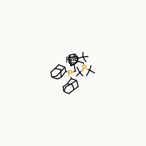 CC(C)(C)P(C[C]12[CH]3[CH]4[CH]5[C]1(CP(C1C6CC7CC(C6)CC1C7)C1C6CC7CC(C6)CC1C7)[Fe]45321678[CH]2[CH]1[CH]6[C]7(C(C)(C)C)[CH]28)C(C)(C)C